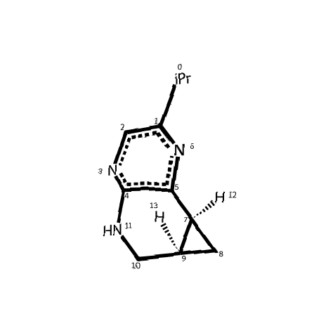 CC(C)c1cnc2c(n1)[C@H]1C[C@H]1CN2